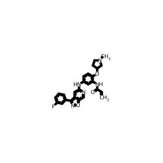 C=CC(=O)Nc1cc(Nc2cc3c(-c4cccc(F)c4)noc3cn2)ccc1OC1CCN(C)C1